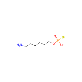 NCCCCCCOP(=O)(O)S